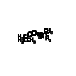 CC(C)c1cn(-c2ccc3ccc(C(C)(C)C)cc3c2)nn1